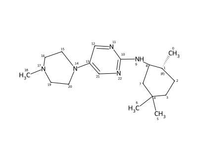 C[C@@H]1CCC(C)(C)CC1Nc1ncc(N2CCN(C)CC2)cn1